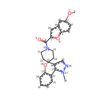 COc1ccc2oc(C(=O)N3CCC4(CC3)Oc3ccccc3-c3c4cnn3C)cc2c1